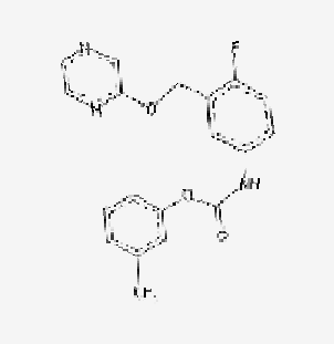 O=C(Nc1ccc(F)c(COc2cnccn2)c1)Oc1cccc(C(F)(F)F)c1